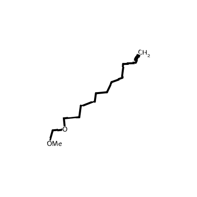 C=CCCCCCCCCCOCOC